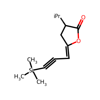 CC(C)C1CC(=CC#C[Si](C)(C)C)OC1=O